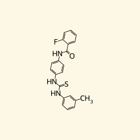 Cc1cccc(NC(=S)Nc2ccc(NC(=O)c3ccccc3F)cc2)c1